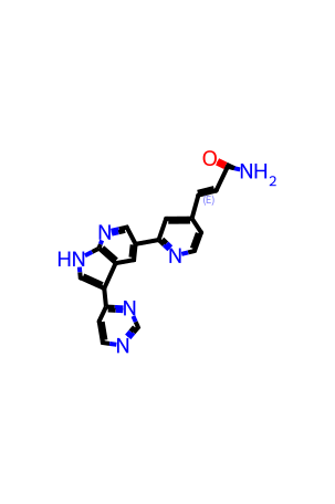 NC(=O)/C=C/c1ccnc(-c2cnc3[nH]cc(-c4ccncn4)c3c2)c1